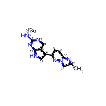 CC[C@H](C)Nc1ncc2c(-c3ccc4nc(C)cn4n3)c[nH]c2n1